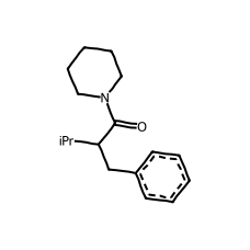 CC(C)C(Cc1ccccc1)C(=O)N1CCCCC1